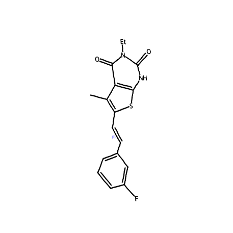 CCn1c(=O)[nH]c2sc(/C=C/c3cccc(F)c3)c(C)c2c1=O